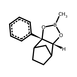 CB1O[C@@H]2C3CCC(C3)[C@]2(c2ccccc2)O1